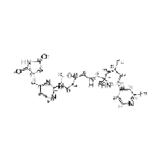 O=C1NC(=O)C(=Cc2ccnc(N3CCC(CNCC4(F)C=C(F)C=C(c5ccnc(F)c5)N4)CC3)n2)S1